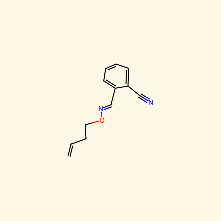 C=CCCON=[C]c1ccccc1C#N